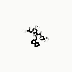 CC(C)CN1CN(C)Cc2c1nn(Cc1cccc3ccccc13)c2C(=O)N1C[C@](C)(O)CO1